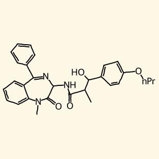 CCCOc1ccc(C(O)C(C)C(=O)NC2N=C(c3ccccc3)c3ccccc3N(C)C2=O)cc1